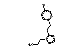 CCCn1ccnc1CCc1ccc(N)cc1